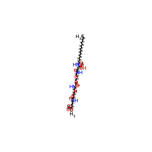 CCCCCCCCCCCCCCCCCC(=O)N[C@H](CCC(=O)NCCOCCOCC(=O)NCCOCCOCC(=O)NCCCC[C@H](C)C(=O)O)C(=O)O